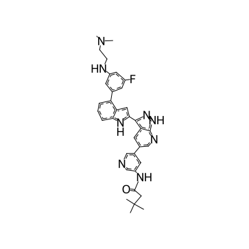 CN(C)CCNc1cc(F)cc(-c2cccc3[nH]c(-c4n[nH]c5ncc(-c6cncc(NC(=O)CC(C)(C)C)c6)cc45)cc23)c1